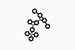 c1ccc(-c2ccc3c4ccc(-c5ccccc5)cc4n(-c4ccc5c(c4)c4ccccc4n5-c4ccc(S(c5ccccc5)(c5ccccc5)c5ccccc5)cc4)c3c2)cc1